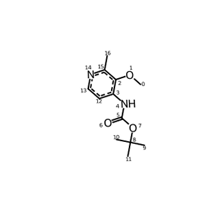 COc1c(NC(=O)OC(C)(C)C)ccnc1C